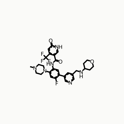 CN1CCN(c2cc(F)c(-c3cncc(CNC4CCOCC4)c3)cc2NC(=O)c2c[nH]c(=O)cc2C(F)(F)F)CC1